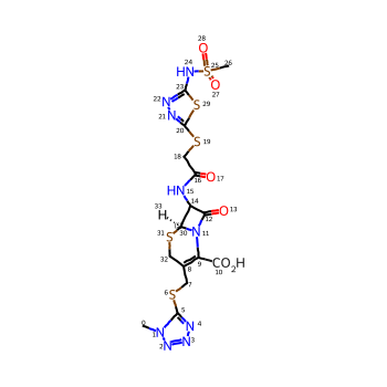 Cn1nnnc1SCC1=C(C(=O)O)N2C(=O)C(NC(=O)CSc3nnc(NS(C)(=O)=O)s3)[C@@H]2SC1